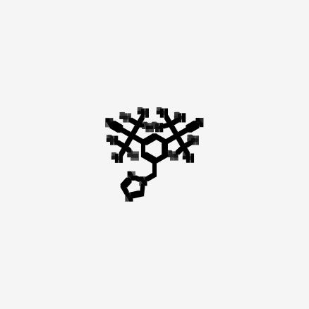 [2H]C([2H])([2H])C(C#N)(c1cc(Cn2cncn2)cc(C(C#N)(C([2H])([2H])[2H])C([2H])([2H])[2H])c1)C([2H])([2H])[2H]